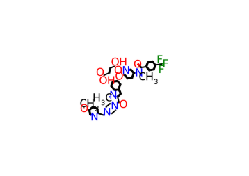 COc1ccc(CN2CCN(C(=O)c3cc4cc(Oc5ccc(N(C)C(=O)c6ccc(C(F)(F)F)cc6)cn5)ccc4n3C)CC2)nc1.O=C(O)C=CC(=O)O